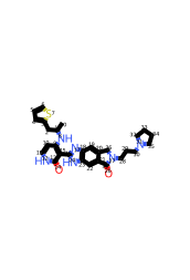 CC(Cc1cccs1)Nc1cc[nH]c(=O)c1-c1nc2cc3c(cc2[nH]1)C(=O)N(CCCN1CCCC1)C3